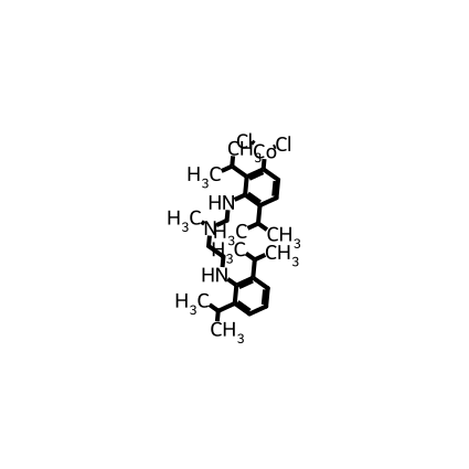 CC(C)c1cccc(C(C)C)c1NCCN(C)CNc1c(C(C)C)cc[c]([Co]([Cl])[Cl])c1C(C)C